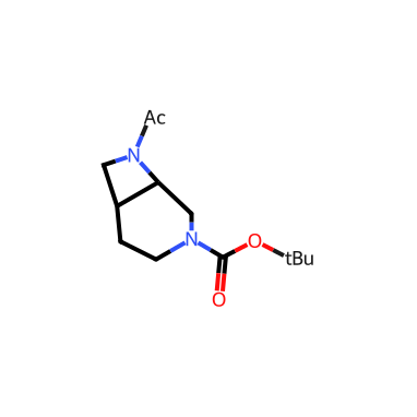 CC(=O)N1CC2CCN(C(=O)OC(C)(C)C)CC21